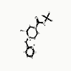 C[C@@H]1CN(C(=O)OC(C)(C)C)CCN1Cc1ccccn1